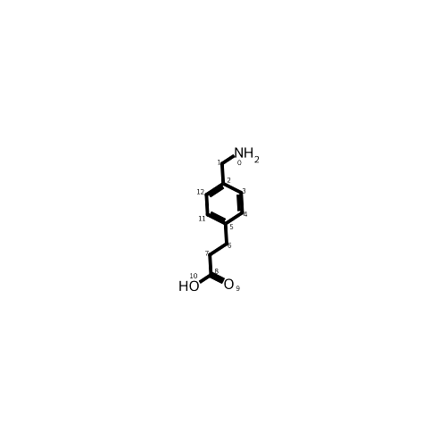 NCc1ccc(CCC(=O)O)cc1